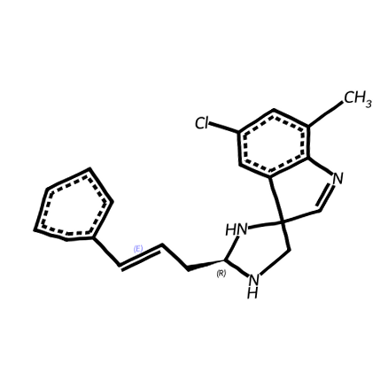 Cc1cc(Cl)cc2c1N=CC21CN[C@@H](C/C=C/c2ccccc2)N1